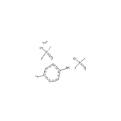 CP(C)(=O)[O-].CP(C)(=O)[O-].[2H]c1ccc([2H])cc1.[Ca+2]